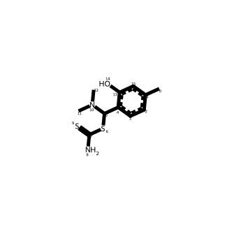 Cc1[c]cc(C(SC(N)=S)N(C)C)c(O)c1